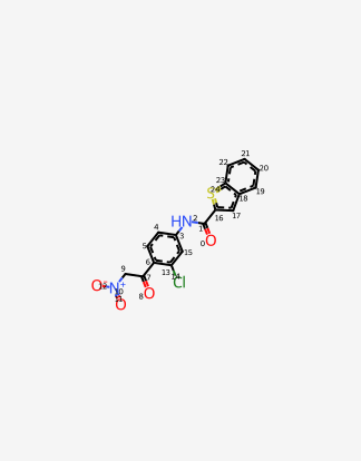 O=C(Nc1ccc(C(=O)C[N+](=O)[O-])c(Cl)c1)c1cc2ccccc2s1